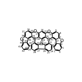 c1ccc2c(c1)oc1ccc3c(c12)B1c2c(cc4c5c2-n2c6c1cccc6c1cccc(c12)B5c1c(ccc2oc5ccccc5c12)O4)O3